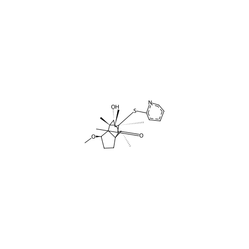 CO[C@@H]1CCC23CC[C@@H](C)[C@](C)(C12)[C@H](O)C[C@@](C)(Sc1ccccn1)C(=O)[C@@H]3C